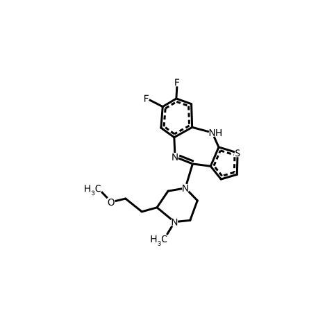 COCCC1CN(C2=Nc3cc(F)c(F)cc3Nc3sccc32)CCN1C